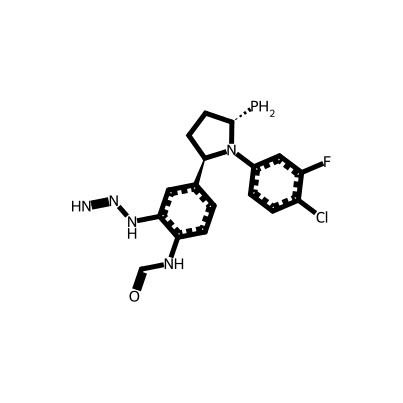 N=NNc1cc([C@H]2CC[C@H](P)N2c2ccc(Cl)c(F)c2)ccc1NC=O